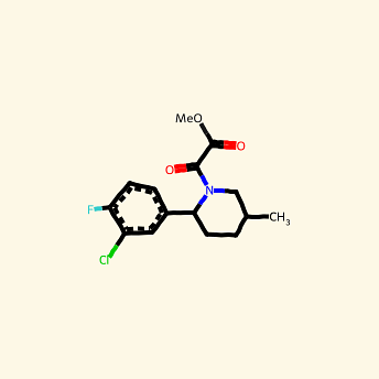 COC(=O)C(=O)N1CC(C)CCC1c1ccc(F)c(Cl)c1